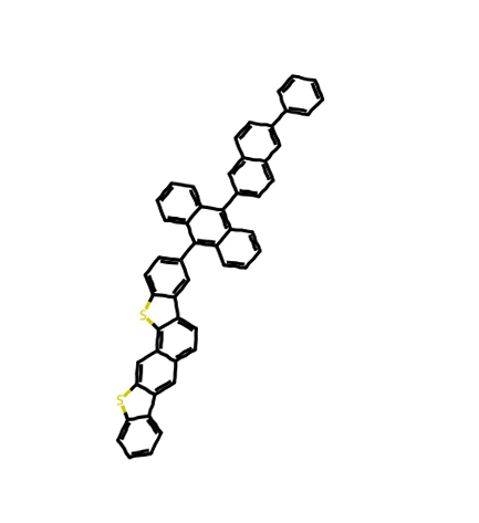 c1ccc(-c2ccc3cc(-c4c5ccccc5c(-c5ccc6sc7c8cc9sc%10ccccc%10c9cc8ccc7c6c5)c5ccccc45)ccc3c2)cc1